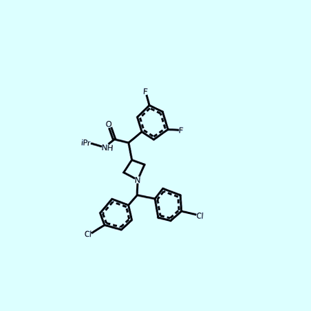 CC(C)NC(=O)C(c1cc(F)cc(F)c1)C1CN(C(c2ccc(Cl)cc2)c2ccc(Cl)cc2)C1